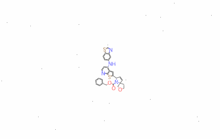 O=C(OCc1ccccc1)N1C(c2cc3c(Nc4ccc5scnc5c4)ccnc3s2)C=CC12CCOC2